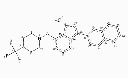 Cl.FC(F)(F)[C]1CCN(Cc2cccc3c2ccn3-c2ccc3ncccc3c2)CC1